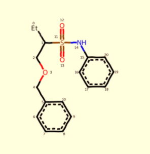 CCC(COCc1ccccc1)S(=O)(=O)Nc1ccccc1